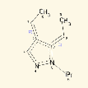 C/C=c1/cnn(C(C)C)/c1=C/C